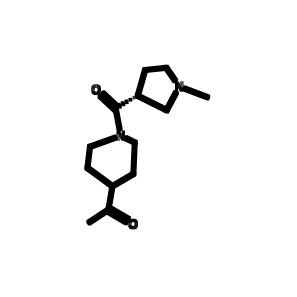 CC(=O)C1CCN(C(=O)[C@@H]2CCN(C)C2)CC1